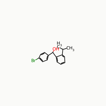 C[C](C)c1ccccc1C(O)c1ccc(Br)cc1